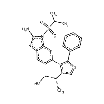 CC(C)S(=O)(=O)n1c(N)nc2ccc(-c3c(-c4ccccc4)ncn3[C@H](C)CO)cc21